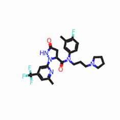 Cc1cc(C(F)(F)F)cc(N2NC(=O)CC2C(=O)N(CCCN2CCCC2)c2ccc(F)c(C)c2)n1